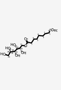 CCCCCCCCCCCCCCCCCC(=O)OC[C@H](O)[C@@H](O)[C@H](O)[C@H](O)CO